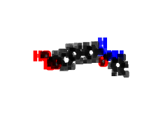 Cc1ccc(NC(=O)Nc2ccc(-c3ccc4c(c3)CCC(O)(CC(=O)O)C4)cc2)cc1